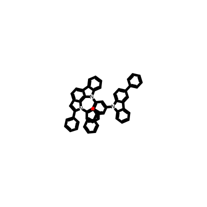 c1ccc(-c2cc(-n3c4ccccc4c4cc(-c5ccccc5)ccc43)cc(-n3c4ccccc4c4ccc5cc(-c6ccccc6)n(-c6ccccc6)c5c43)c2)cc1